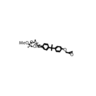 CO[Si](C)(C)O[Si](C)(COc1ccc(C(C)(C)c2ccc(OCC3CO3)cc2)cc1)OC